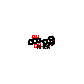 CCCCCCC1C(C)CCCC/C=C(\C2CCCCC2)C2CC(C3CCC4C(O)C5CCCCC5C(O)C4C3)CCC21